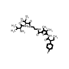 CCC(C(=O)Nc1sc(C(=O)NCCNC(=O)[C@@H](NC(=O)[C@@H](N)C(C)C)C(C)C)c(C)c1C)c1ccc(F)cc1